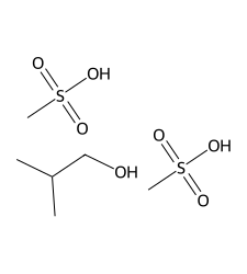 CC(C)CO.CS(=O)(=O)O.CS(=O)(=O)O